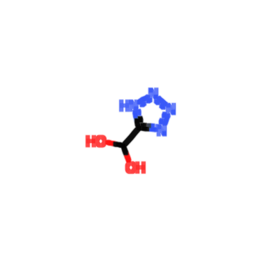 OC(O)c1nnn[nH]1